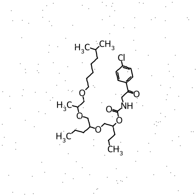 CCCC(COC(C)COCCCCCC(C)C)OCC(CCC)OC(=O)NCC(=O)c1ccc(Cl)cc1